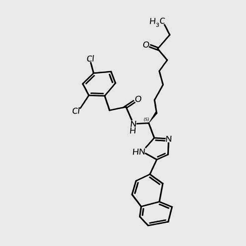 CCC(=O)CCCCC[C@H](NC(=O)Cc1ccc(Cl)cc1Cl)c1ncc(-c2ccc3ccccc3c2)[nH]1